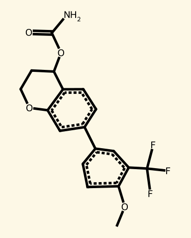 COc1ccc(-c2ccc3c(c2)OCCC3OC(N)=O)cc1C(F)(F)F